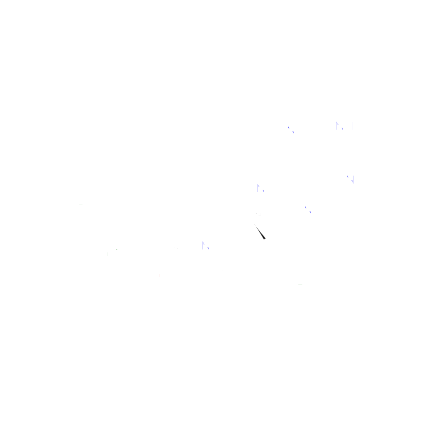 C[C@H](Nc1ncnc2[nH]cnc12)c1cc2ccc(F)c(Cl)c2c(=O)n1-c1cccc(F)c1